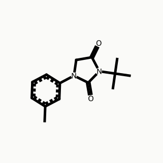 Cc1cccc(N2CC(=O)N(C(C)(C)C)C2=O)c1